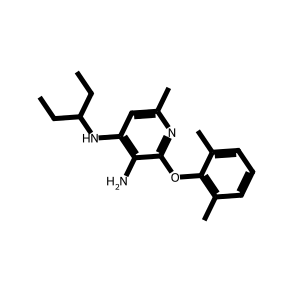 CCC(CC)Nc1cc(C)nc(Oc2c(C)cccc2C)c1N